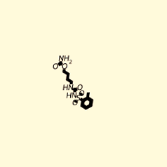 Cc1ccccc1S(=O)(=O)NC(=O)NCCCCOC(N)=O